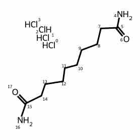 Cl.Cl.Cl.Cl.NC(=O)CCCCCCCCC(N)=O